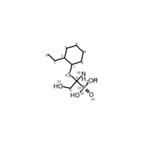 CCC1CCCCC1SC(N)(CO)P(=O)(O)O